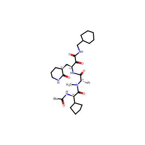 CCC[C@@H](C(=O)N[C@@H](C[C@@H]1CCCNC1=O)C(=O)C(=O)NCC1CCCCC1)N(C)C(=O)[C@H](NC(=O)C(C)(C)C)C1CCCC1